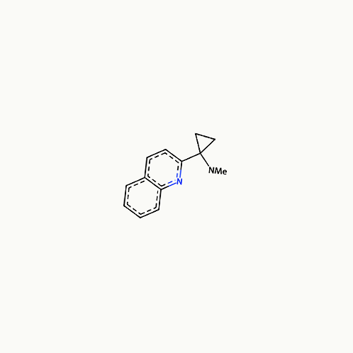 CNC1(c2ccc3ccccc3n2)CC1